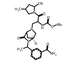 CC1CC(C#N)N(C(=O)C(CN2C[C@@H]3CC2C(=O)N3C(C)c2cccc(C(N)=O)c2)NC(=O)OC(C)(C)C)C1